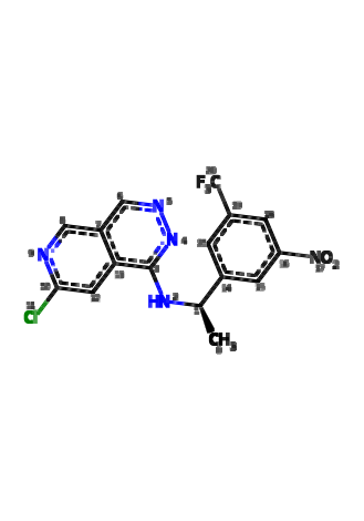 C[C@@H](Nc1nncc2cnc(Cl)cc12)c1cc([N+](=O)[O-])cc(C(F)(F)F)c1